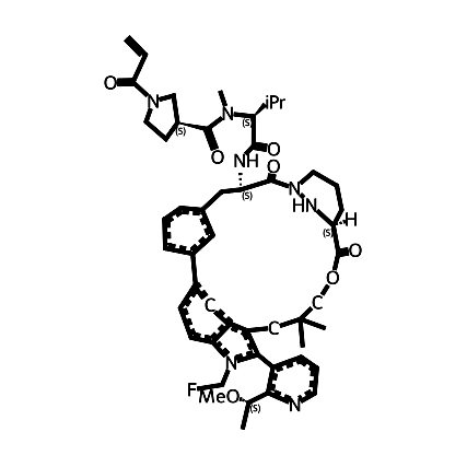 C=CC(=O)N1CC[C@H](C(=O)N(C)[C@H](C(=O)N[C@H]2Cc3cccc(c3)-c3ccc4c(c3)c(c(-c3cccnc3[C@H](C)OC)n4CF)CC(C)(C)COC(=O)[C@@H]3CCCN(N3)C2=O)C(C)C)C1